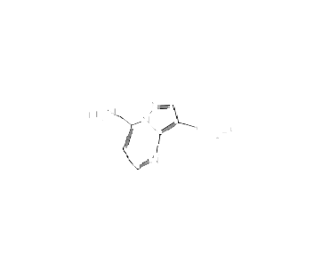 CCOC(=O)c1cnn2c(N)ccnc12